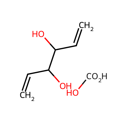 C=CC(O)C(O)C=C.O=C(O)O